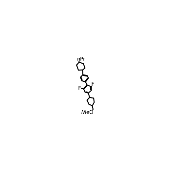 CCCC1CCC(c2ccc(-c3c(F)cc(C4CCC(COC)CC4)cc3F)cc2)CC1